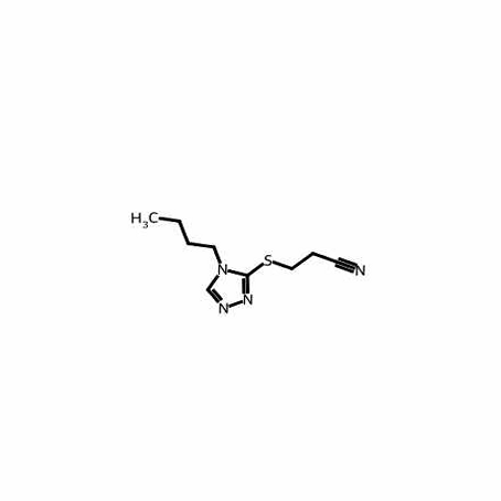 CCCCn1cnnc1SCCC#N